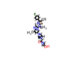 CCc1nc2c(C)cc(N3C[C@@H]4CC3CN4CC(=O)N3CC(O)C3)cn2c1N(C)c1nc(-c2ccc(F)cc2)c(C#N)s1